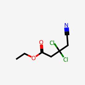 CCOC(=O)CC(Cl)(Cl)CC#N